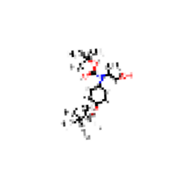 CC(CO)N(C(=O)OC(C)(C)C)C1CCC(O[Si](C)(C)C(C)(C)C)CC1